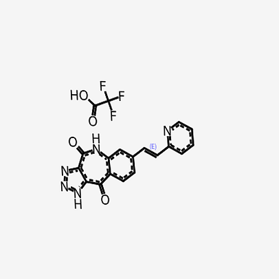 O=C(O)C(F)(F)F.O=c1[nH]c2cc(/C=C/c3ccccn3)ccc2c(=O)c2[nH]nnc12